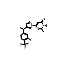 Cc1nc(-n2cc(C(C)c3ccc(C(F)(F)F)c(F)c3)cn2)cc(=O)[nH]1